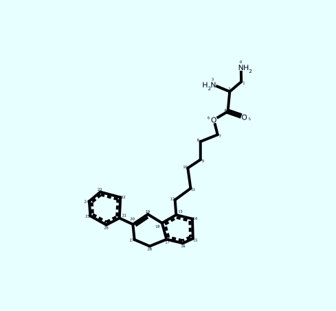 NCC(N)C(=O)OCCCCCCc1cccc2c1C=C(c1ccccc1)CC2